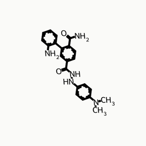 CN(C)c1ccc(NNC(=O)c2ccc(C(N)=O)c(-c3ccccc3N)c2)cc1